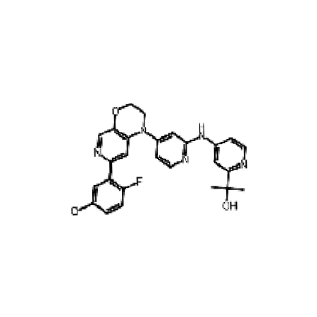 CC(C)(O)c1cc(Nc2cc(N3CCOc4cnc(-c5cc(Cl)ccc5F)cc43)ccn2)ccn1